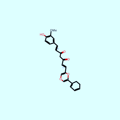 COc1cc(/C=C/C(=O)CC(=O)/C=C/C2=COC=C(C3=CC=CCC3)O2)ccc1O